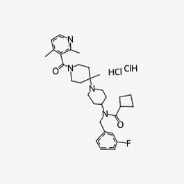 Cc1ccnc(C)c1C(=O)N1CCC(C)(N2CCC(N(Cc3cccc(F)c3)C(=O)C3CCC3)CC2)CC1.Cl.Cl